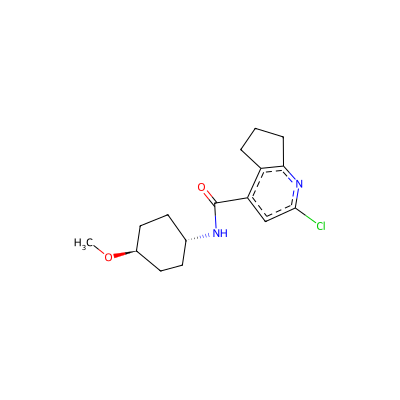 CO[C@H]1CC[C@H](NC(=O)c2cc(Cl)nc3c2CCC3)CC1